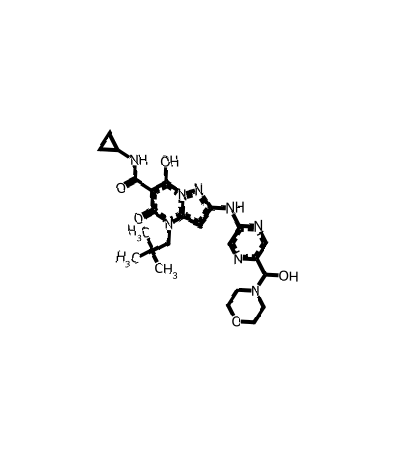 CC(C)(C)Cn1c(=O)c(C(=O)NC2CC2)c(O)n2nc(Nc3cnc(C(O)N4CCOCC4)cn3)cc12